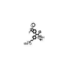 CC1(C)COB(/C(=C(\c2ccc(/C=C/C(=O)OC(C)(C)C)cc2)c2ccc3c(c2)c(F)nn3C2CCCCO2)C2CCC2)ON1